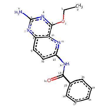 CCOc1nc(N)nc2ccc(NC(=O)c3ccccc3)nc12